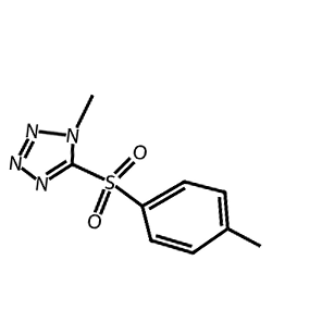 Cc1ccc(S(=O)(=O)c2nnnn2C)cc1